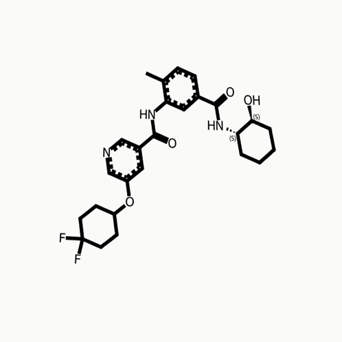 Cc1ccc(C(=O)N[C@H]2CCCC[C@@H]2O)cc1NC(=O)c1cncc(OC2CCC(F)(F)CC2)c1